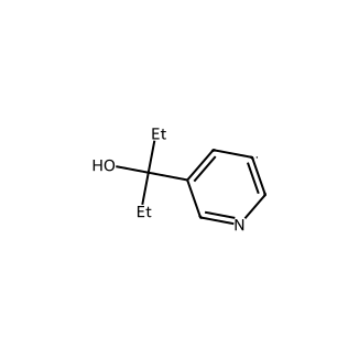 CCC(O)(CC)c1c[c]cnc1